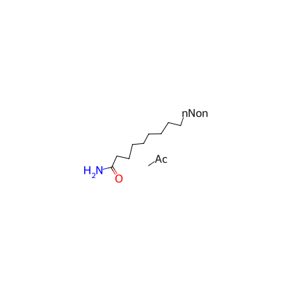 CC(C)=O.CCCCCCCCCCCCCCCCCC(N)=O